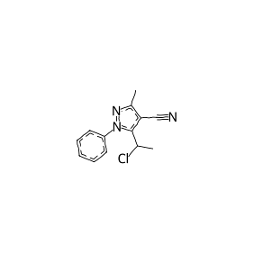 Cc1nn(-c2ccccc2)c(C(C)Cl)c1C#N